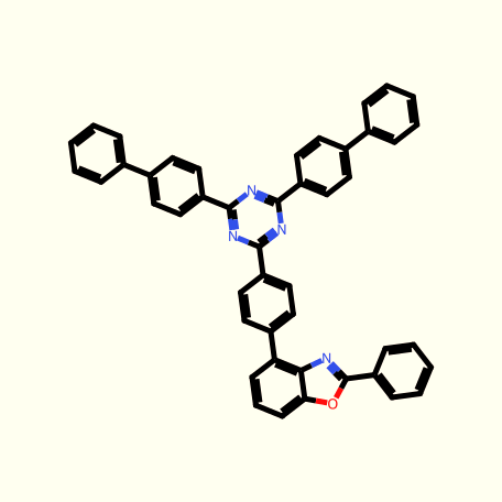 c1ccc(-c2ccc(-c3nc(-c4ccc(-c5ccccc5)cc4)nc(-c4ccc(-c5cccc6oc(-c7ccccc7)nc56)cc4)n3)cc2)cc1